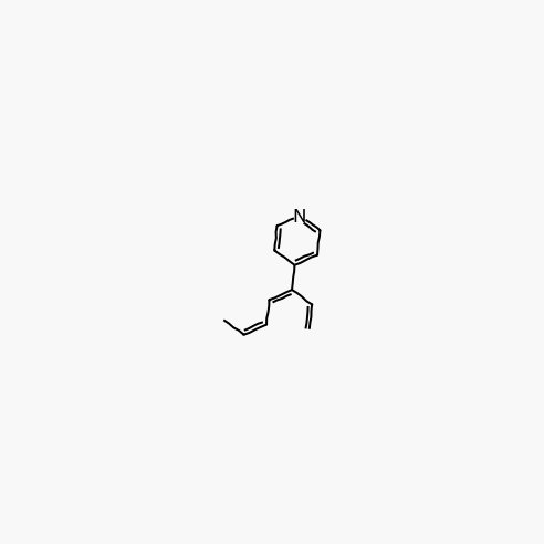 C=C/C(=C\C=C/C)c1ccncc1